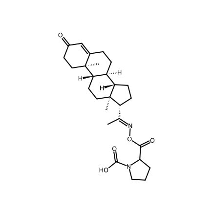 C/C(=N\OC(=O)C1CCCN1C(=O)O)[C@H]1CC[C@H]2[C@@H]3CCC4=CC(=O)CC[C@]4(C)[C@H]3CC[C@]12C